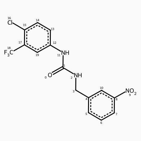 O=C(NCc1cccc([N+](=O)[O-])c1)Nc1ccc(Cl)c(C(F)(F)F)c1